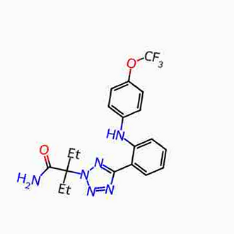 CCC(CC)(C(N)=O)n1nnc(-c2ccccc2Nc2ccc(OC(F)(F)F)cc2)n1